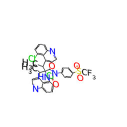 CC(c1ccnc2cccc(Cl)c12)C1(C(C)c2ccnc3cccc(Cl)c23)NC(=O)N(c2ccc(S(=O)(=O)C(F)(F)F)cc2)C1=O